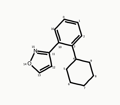 c1ccc(C2CCCCC2)c(-c2ccon2)c1